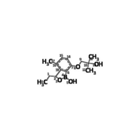 CCC1OB(O)c2c(OCC(C)(C)O)ccc(C)c21